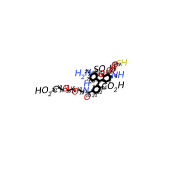 N=c1ccc2c(-c3cc(C(=O)NCCOCCOCCC(=O)O)ccc3C(=O)O)c3ccc(N)c(S(=O)(=O)O)c3oc-2c1OOOS